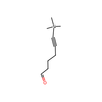 C[Si](C)(C)C#CCCCC=O